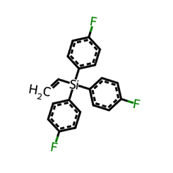 C=C[Si](c1ccc(F)cc1)(c1ccc(F)cc1)c1ccc(F)cc1